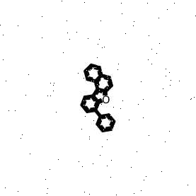 c1ccc(-c2cccc3c2oc2ccc4ccccc4c23)cc1